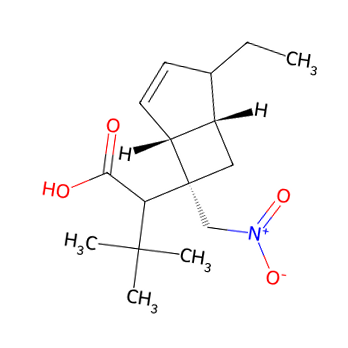 CCC1C=C[C@@H]2[C@H]1C[C@@]2(C[N+](=O)[O-])C(C(=O)O)C(C)(C)C